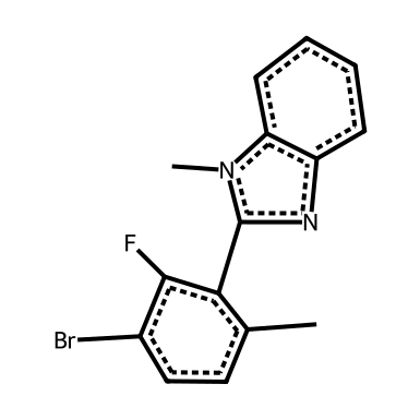 Cc1ccc(Br)c(F)c1-c1nc2ccccc2n1C